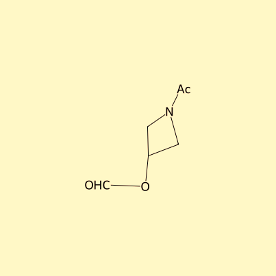 CC(=O)N1CC(OC=O)C1